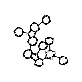 c1ccc(-c2ccc3c(c2)c2ccc(-c4cccc5c6cccc(-c7nc(-c8ccccc8)nc(-c8ccccc8)n7)c6n(-c6ccccc6)c45)cc2n3-c2ccccc2)cc1